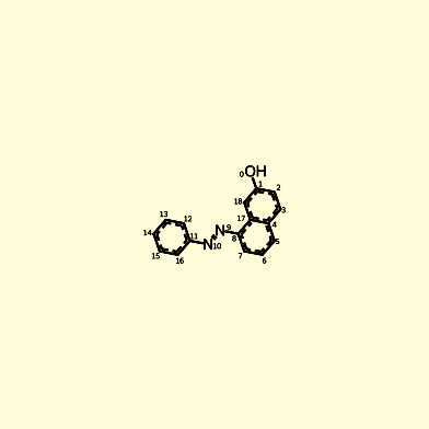 Oc1ccc2cccc(N=Nc3ccccc3)c2c1